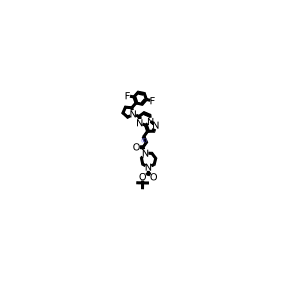 CC(C)(C)OC(=O)N1CCCN(C(=O)/C=C/c2cnn3ccc(N4CCCC4c4cc(F)ccc4F)nc23)CC1